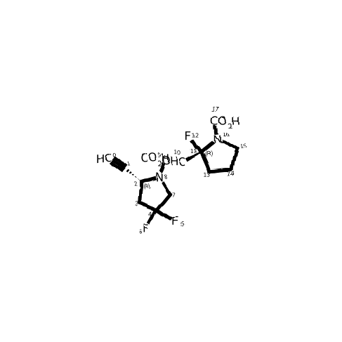 C#C[C@H]1CC(F)(F)CN1C(=O)O.O=C[C@]1(F)CCCN1C(=O)O